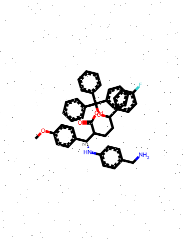 COc1ccc([C@@H](Nc2ccc(CN)cc2)C(CCC(OC(c2ccccc2)(c2ccccc2)c2ccccc2)c2ccc(F)cc2)C(=O)O)cc1